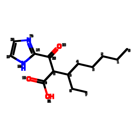 CCCCCC(CC)C(C(=O)O)C(=O)c1ncc[nH]1